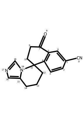 N#Cc1ccc2c(c1)C(=O)CCC21CCCC2=CN=C[N+]21